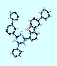 c1ccc(-c2cccc(-c3nc(-c4ccccc4)nc(-c4cccc5c4oc4ccc(-c6ccccc6)cc45)n3)c2)cc1